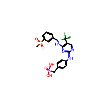 CS(=O)(=O)c1cccc(CNc2nc(Nc3ccc(CP(=O)(O)O)cc3)ncc2C(F)(F)F)c1